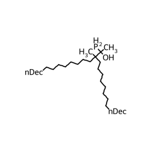 CCCCCCCCCCCCCCCCCCC(C)(CCCCCCCCCCCCCCCCCC)C(C)(O)P